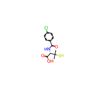 CC(C)(S)[C@@H](NC(=O)c1ccc(Cl)cc1)C(=O)O